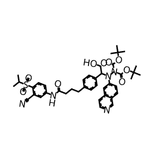 CC(C)S(=O)(=O)c1ccc(NC(=O)CCCc2ccc(C(C(=O)O)N(c3ccc4cnccc4c3)N(C(=O)OC(C)(C)C)C(=O)OC(C)(C)C)cc2)cc1C#N